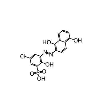 O=S(=O)(O)c1cc(Cl)cc(N=Nc2ccc3c(O)cccc3c2O)c1O